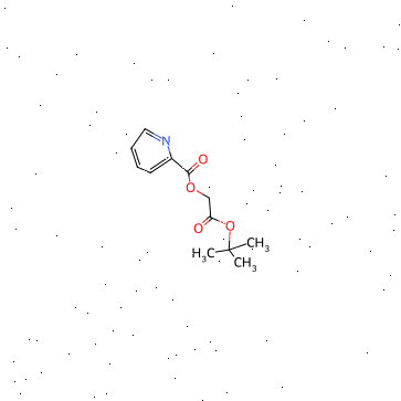 CC(C)(C)OC(=O)COC(=O)c1ccccn1